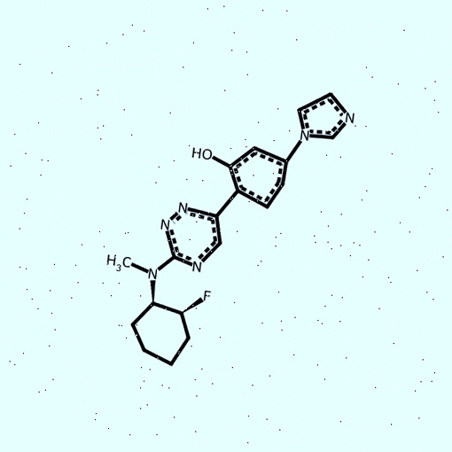 CN(c1ncc(-c2ccc(-n3ccnc3)cc2O)nn1)[C@@H]1CCCC[C@@H]1F